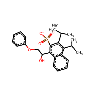 CC(C)c1c(S(=O)(=O)[O-])c(C(O)COc2ccccc2)c2ccccc2c1C(C)C.[Na+]